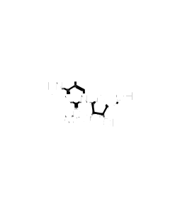 CO[C@@H]1[C@H](O)[C@@H](CO)O[C@H]1n1cc(I)c(N)nc1=O